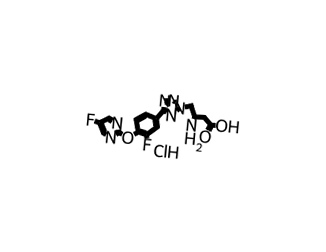 Cl.NC(CC(=O)O)Cn1nnc(-c2ccc(Oc3ncc(F)cn3)c(F)c2)n1